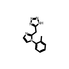 Cc1ccccc1-n1ccnc1Cc1nnn[nH]1